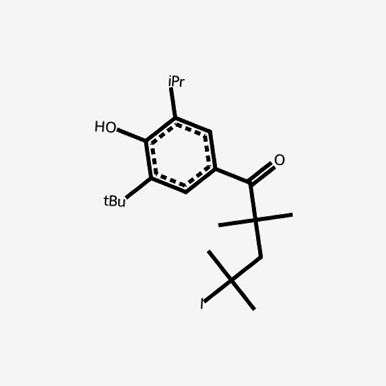 CC(C)c1cc(C(=O)C(C)(C)CC(C)(C)I)cc(C(C)(C)C)c1O